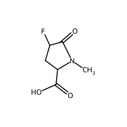 CN1C(=O)C(F)CC1C(=O)O